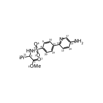 COC(=O)C(NS(=O)(=O)c1ccc(-c2ccc(N)cn2)cc1)C(C)C